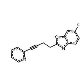 Fc1ccc2nc(CCC#Cc3ccccn3)oc2c1